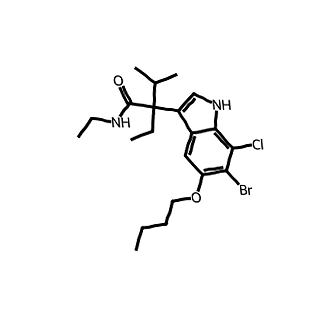 CCCCOc1cc2c(C(CC)(C(=O)NCC)C(C)C)c[nH]c2c(Cl)c1Br